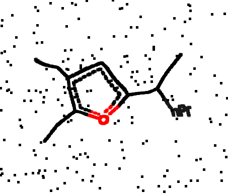 CCCC(C)c1cc(C)c(C)o1